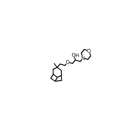 CC1(CCOCC(O)CN2CCOCC2)CC2CC3CC(C1)C32